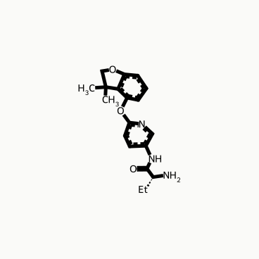 CC[C@@H](N)C(=O)Nc1ccc(Oc2cccc3c2C(C)(C)CO3)nc1